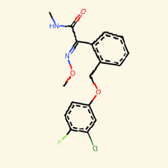 CNC(=O)/C(=N/OC)c1ccccc1COc1ccc(F)c(Cl)c1